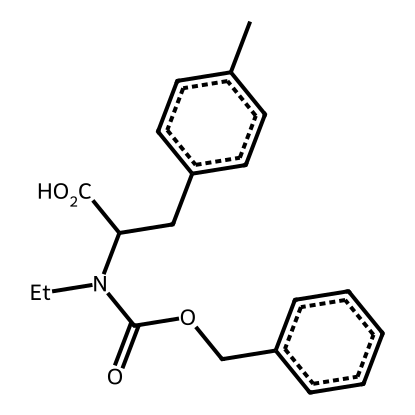 CCN(C(=O)OCc1ccccc1)C(Cc1ccc(C)cc1)C(=O)O